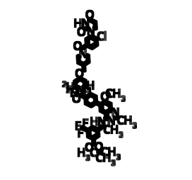 [2H]C1([2H])CC(OCC2CCN(C(=O)c3ccc(Cl)c(N4CCC(=O)NC4=O)c3)CC2)CC([2H])([2H])N1C(=O)C1CCC(c2cc3c(N[C@H](C)c4cc(C(=O)OC(C)(C)C)cc(C(F)(F)F)c4)nc(C)nc3cc2OC)CC1